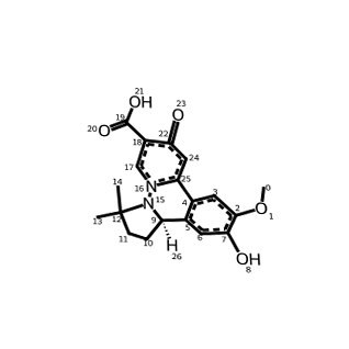 COc1cc2c(cc1O)[C@H]1CCC(C)(C)N1n1cc(C(=O)O)c(=O)cc1-2